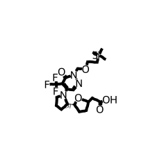 C[Si](C)(C)CCOCn1ncc(N2CCC[C@H]2C2CCC(CC(=O)O)O2)c(C(F)(F)F)c1=O